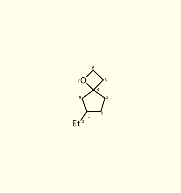 CCC1CCC2(CCO2)C1